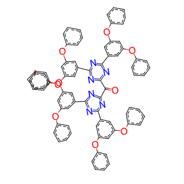 O=C(c1nc(-c2cc(Oc3ccccc3)cc(Oc3ccccc3)c2)nc(-c2cc(Oc3ccccc3)cc(Oc3ccccc3)c2)n1)c1nc(-c2cc(Oc3ccccc3)cc(Oc3ccccc3)c2)nc(-c2cc(Oc3ccccc3)cc(Oc3ccccc3)c2)n1